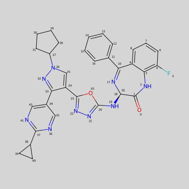 O=C1Nc2c(F)cccc2C(c2ccccc2)=N[C@@H]1Nc1nnc(-c2cn(C3CCCC3)nc2-c2cnc(C3CC3)nc2)o1